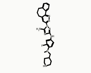 CN(CC1CCNCC1)c1ccc(Nc2nc(N)n(-c3cc4c(nn3)-c3ccccc3CCC4)n2)cc1F